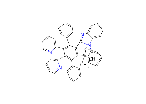 C[Si](C)(C)c1c(-c2ccccc2)c(-c2ccccn2)c(-c2ccccn2)c(-c2ccccc2)c1-c1nc2ccccc2n1-c1ccccc1